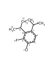 CC(C)c1ccc(Cl)c(F)c1C(C)C